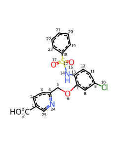 O=C(O)c1ccc(COc2cc(Cl)ccc2NS(=O)(=O)c2ccccc2)nc1